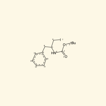 CC(C)(C)OC(=O)NC(CI)Cc1ccccc1